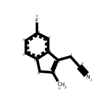 CC1=C(CC#N)c2cc(F)ccc2C1